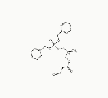 C[C@@H](COC(=O)OCCl)COP(=O)(OCc1ccccc1)OCc1ccccc1